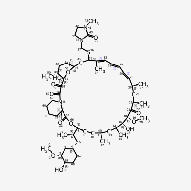 CO[C@@H]1C[C@H](C[C@@H](C)[C@@H]2CC[C@H](C)CC(C)[C@@H](O)[C@@H](OC)C(=O)[C@H](C)C[C@H](C)/C=C/C=C/C=C(\C)C(SCN3CCN(C)C3=O)C[C@@H]3CC[C@@H](C)[C@@](O)(O3)C(=O)C(=O)N3CCCC[C@H]3C(=O)O2)CC[C@H]1O